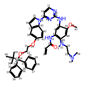 C=CC(=O)Nc1cc(Nc2nccc(-n3ccc4cc(OCCO[Si](c5ccccc5)(c5ccccc5)C(C)(C)C)ccc43)n2)c(OC)cc1N(C)CCN(C)C